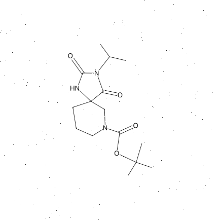 CC(C)N1C(=O)NC2(CCCN(C(=O)OC(C)(C)C)C2)C1=O